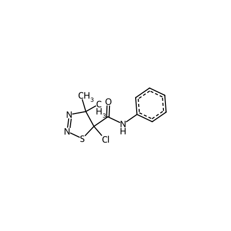 CC1(C)N=NSC1(Cl)C(=O)Nc1ccccc1